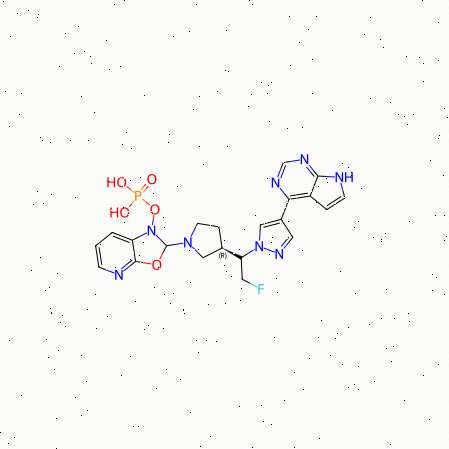 O=P(O)(O)ON1c2cccnc2OC1N1CC[C@@H](C(CF)n2cc(-c3ncnc4[nH]ccc34)cn2)C1